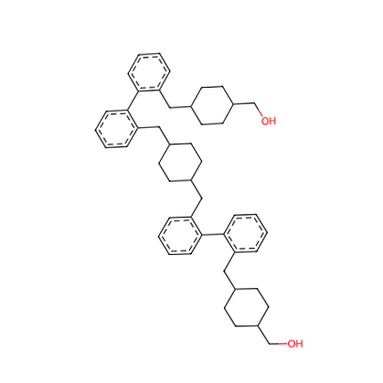 OCC1CCC(Cc2ccccc2-c2ccccc2CC2CCC(Cc3ccccc3-c3ccccc3CC3CCC(CO)CC3)CC2)CC1